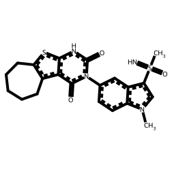 Cn1cc(S(C)(=N)=O)c2cc(-n3c(=O)[nH]c4sc5c(c4c3=O)CCCCC5)ccc21